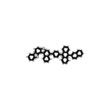 c1ccc2cc(-c3c4ccccc4c(-c4ccc(-c5cc6oc7ccc8c9ccccc9oc8c7c6c6ccccc56)cc4)c4ccccc34)ccc2c1